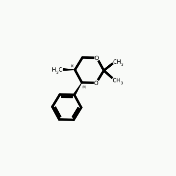 C[C@H]1COC(C)(C)O[C@H]1c1ccccc1